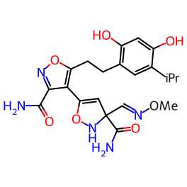 CON=CC1(C(N)=O)C=C(c2c(C(N)=O)noc2CCc2cc(C(C)C)c(O)cc2O)ON1